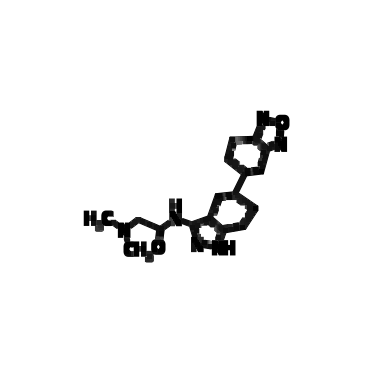 CN(C)CC(=O)Nc1n[nH]c2ccc(-c3ccc4nonc4c3)cc12